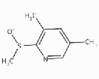 Cc1cnc([S+](C)[O-])c(C)c1